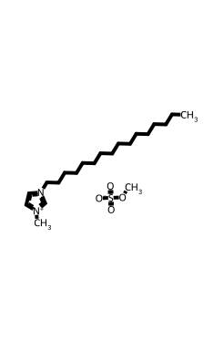 CCCCCCCCCCCCCCCCn1cc[n+](C)c1.COS(=O)(=O)[O-]